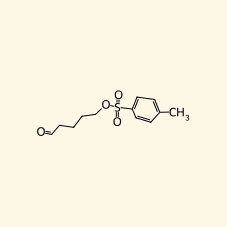 Cc1ccc(S(=O)(=O)OCCCCC=O)cc1